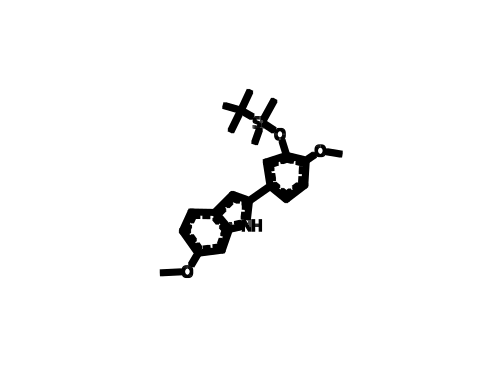 COc1ccc2cc(-c3ccc(OC)c(O[Si](C)(C)C(C)(C)C)c3)[nH]c2c1